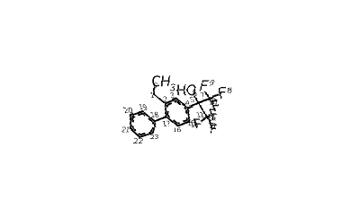 CCc1cc(C(O)(C(F)(F)F)C(F)(F)F)ccc1-c1ccccc1